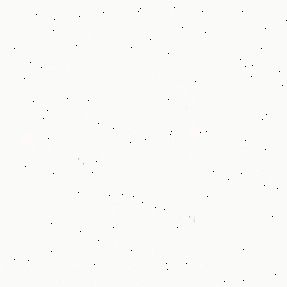 N#Cc1cccc(-c2cc(-c3cccc4c3oc3ccccc34)cc(-c3cccc4oc5ccccc5c34)c2C#N)c1